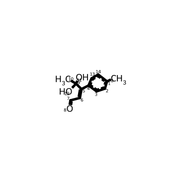 Cc1ccc(/C(=C/C=O)C(C)(O)O)cc1